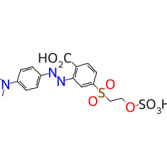 CN(C)c1ccc(/N=N/c2cc(S(=O)(=O)CCOS(=O)(=O)O)ccc2C(=O)O)cc1